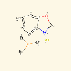 CCP(CC)CC.SN1COc2ccccc21.[Au]